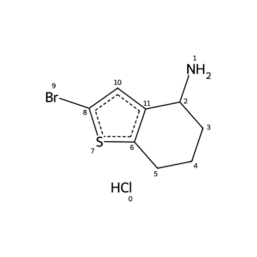 Cl.NC1CCCc2sc(Br)cc21